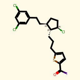 O=C(I)c1ccc(CCC[C@@H]2[C@@H](CCc3cc(Cl)cc(Cl)c3)CC[C@H]2Cl)s1